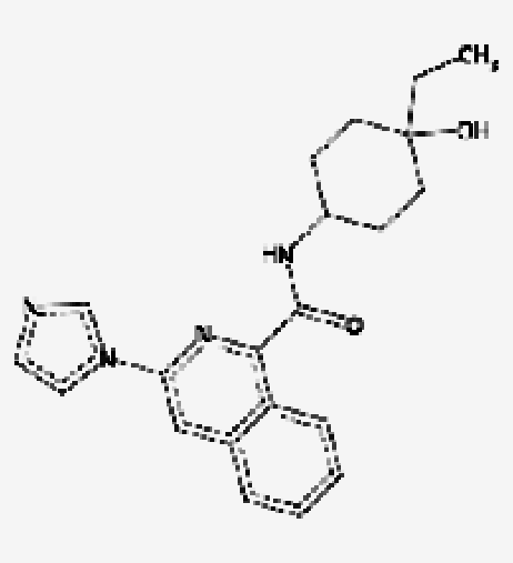 CCC1(O)CCC(NC(=O)c2nc(-n3ccnc3)cc3ccccc23)CC1